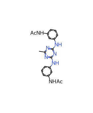 CC(=O)Nc1cccc(Nc2nc(C)nc(Nc3cccc(NC(C)=O)c3)n2)c1